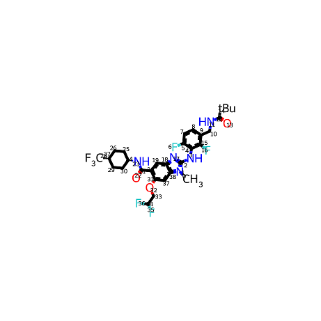 Cn1c(Nc2c(F)ccc(CNC(=O)C(C)(C)C)c2F)nc2cc(C(=O)N[C@H]3CC[C@H](C(F)(F)F)CC3)c(OCC(F)F)cc21